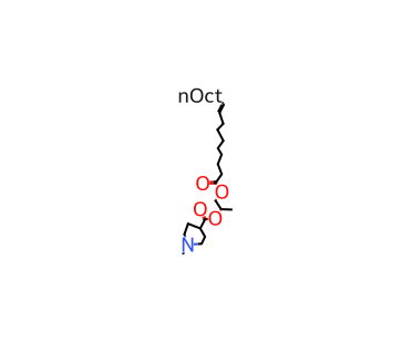 CCCCCCCC/C=C/CCCCCCCC(=O)OCC(C)OC(=O)C1CCN(C)CC1